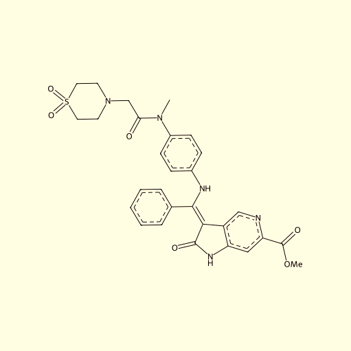 COC(=O)c1cc2c(cn1)C(=C(Nc1ccc(N(C)C(=O)CN3CCS(=O)(=O)CC3)cc1)c1ccccc1)C(=O)N2